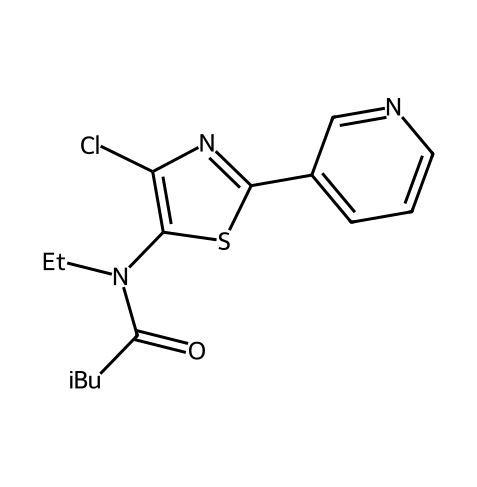 CCC(C)C(=O)N(CC)c1sc(-c2cccnc2)nc1Cl